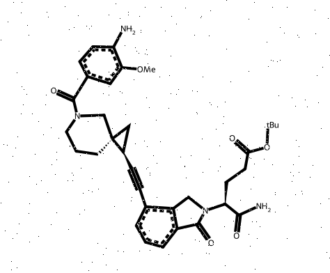 COc1cc(C(=O)N2CCC[C@@]3(C[C@H]3C#Cc3cccc4c3CN([C@@H](CCC(=O)OC(C)(C)C)C(N)=O)C4=O)C2)ccc1N